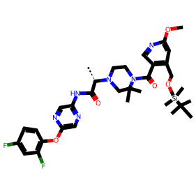 COc1cc(CO[Si](C)(C)C(C)(C)C)c(C(=O)N2CCN([C@@H](C)C(=O)Nc3cnc(Oc4ccc(F)cc4F)cn3)CC2(C)C)cn1